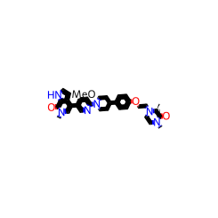 COc1cc(N2CCC(c3ccc(OCCN4CCN(C)C(=O)[C@H]4C)cc3)CC2)ncc1-c1cn(C)c(=O)c2[nH]ccc12